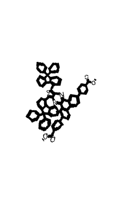 COC(=O)c1ccc(-c2ccc3c4ccc(-c5ccc(C(=O)OC)cc5)cc4c4nc5c(-c6cccc7c6-c6ccccc6C7(c6ccccc6)c6ccccc6)sc(-c6cccc7c6-c6ccccc6C7(c6ccccc6)c6ccccc6)c5nc4c3c2)cc1